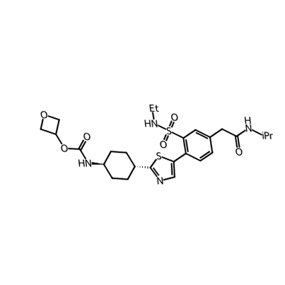 CCNS(=O)(=O)c1cc(CC(=O)NC(C)C)ccc1-c1cnc([C@H]2CC[C@H](NC(=O)OC3COC3)CC2)s1